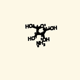 N.Oc1oc(O)c(O)c1O